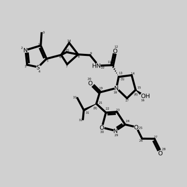 Cc1ncsc1C12CC(CNC(=O)[C@@H]3C[C@@H](O)CN3C(=O)[C@@H](c3cc(OCC=O)no3)C(C)C)(C1)C2